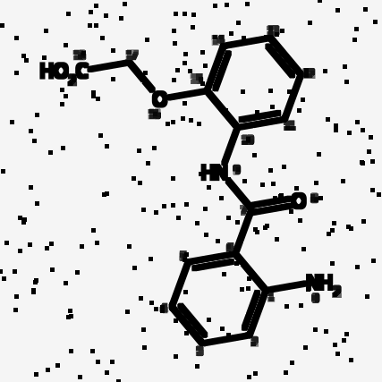 Nc1ccccc1C(=O)Nc1ccccc1OCC(=O)O